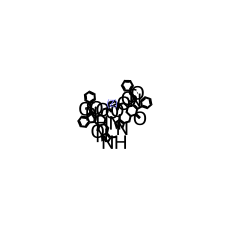 Cc1[nH]cnc1CC1CC(OC(=O)/C=C\C(=O)OC2CC(Cc3nc[nH]c3C)C(=O)c3c2n(S(=O)(=O)c2ccccc2)c2ccccc32)c2c(c3ccccc3n2S(=O)(=O)c2ccccc2)C1=O